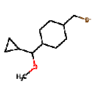 COC(C1CCC(CBr)CC1)C1CC1